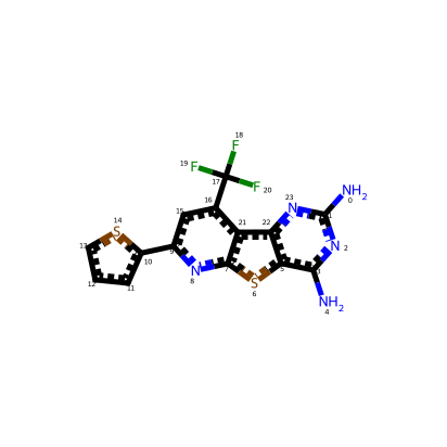 Nc1nc(N)c2sc3nc(-c4cccs4)cc(C(F)(F)F)c3c2n1